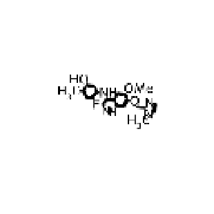 COc1cc2c(Nc3cc(O)c(C)cc3F)cnnc2cc1OCc1nccn1C